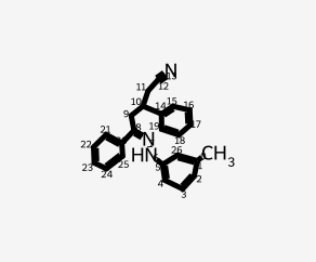 Cc1cccc(NN=C(CC(CC#N)c2ccccc2)c2ccccc2)c1